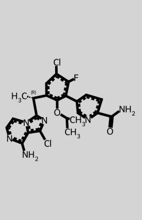 CC(C)Oc1c([C@@H](C)c2nc(Cl)c3c(N)nccn23)cc(Cl)c(F)c1-c1ccc(C(N)=O)nc1